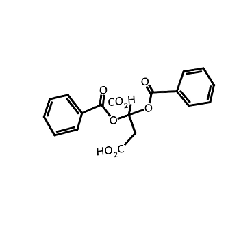 O=C(O)CC(OC(=O)c1ccccc1)(OC(=O)c1ccccc1)C(=O)O